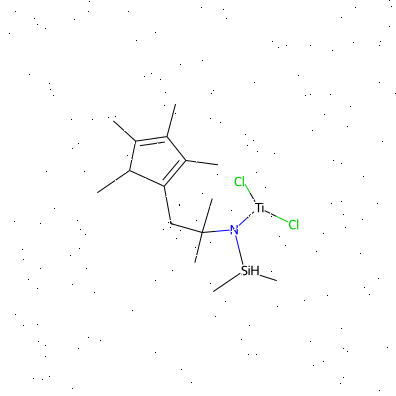 CC1=C(C)C(C)C(CC(C)(C)[N]([SiH](C)C)[Ti]([Cl])[Cl])=C1C